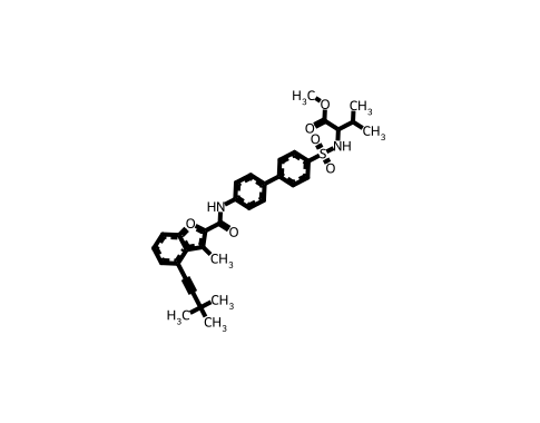 COC(=O)C(NS(=O)(=O)c1ccc(-c2ccc(NC(=O)c3oc4cccc(C#CC(C)(C)C)c4c3C)cc2)cc1)C(C)C